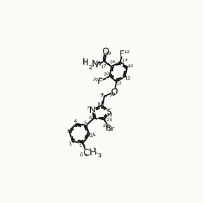 Cc1cccc(-c2nc(COc3ccc(F)c(C(N)=O)c3F)sc2Br)c1